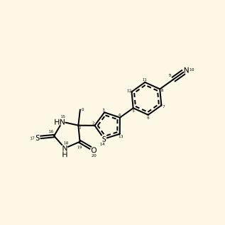 CC1(c2cc(-c3ccc(C#N)cc3)cs2)NC(=S)NC1=O